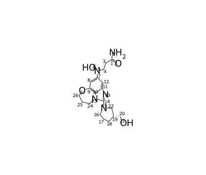 NC(=O)CCN(O)c1cc2c3c(c1)nc(N1CCC[C@@H](CO)C1)n3CCCO2